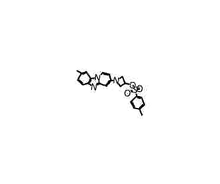 Cc1ccc(S(=O)(=O)OC2CN(c3ccn4c(c3)nc3ccc(C)cc34)C2)cc1